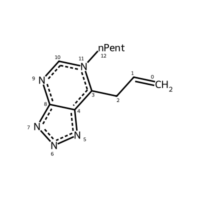 C=CCc1c2nnnc-2ncn1CCCCC